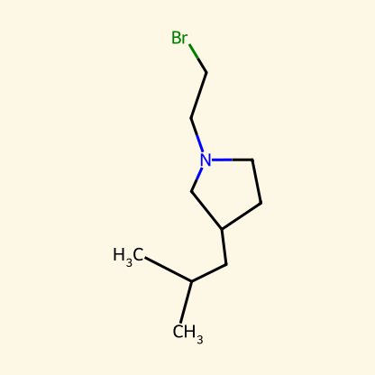 CC(C)CC1CCN(CCBr)C1